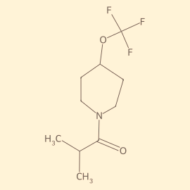 CC(C)C(=O)N1CCC(OC(F)(F)F)CC1